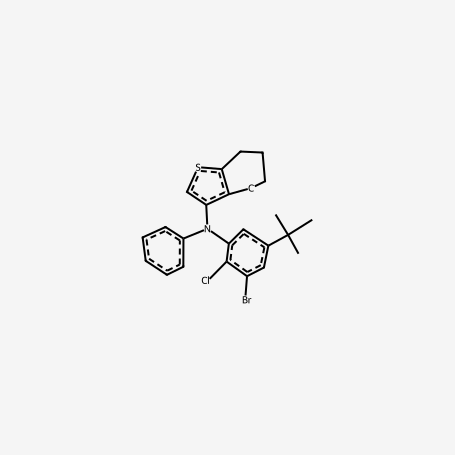 CC(C)(C)c1cc(Br)c(Cl)c(N(c2ccccc2)c2csc3c2CCCC3)c1